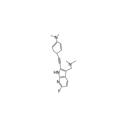 CN(C)Cc1c(C#CC2C=CC(N(C)C)=CC2)[nH]c2nc(F)ccc12